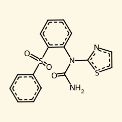 NC(=O)N(c1nccs1)c1ccccc1S(=O)(=O)c1ccccc1